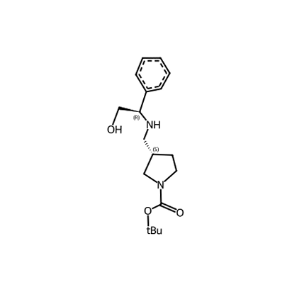 CC(C)(C)OC(=O)N1CC[C@@H](CN[C@@H](CO)c2ccccc2)C1